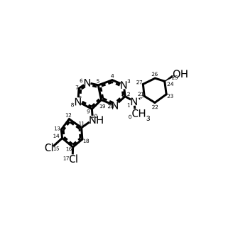 CN(c1ncc2ncnc(Nc3ccc(Cl)c(Cl)c3)c2n1)[C@H]1CC[C@H](O)CC1